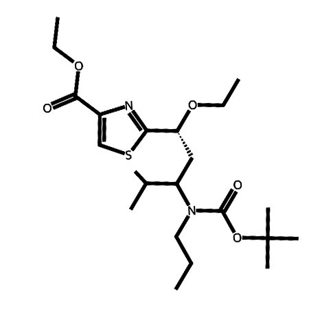 CCCN(C(=O)OC(C)(C)C)C(C[C@@H](OCC)c1nc(C(=O)OCC)cs1)C(C)C